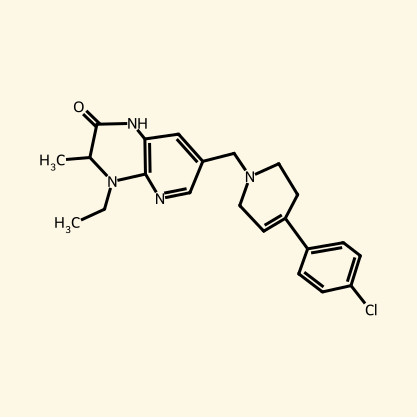 CCN1c2ncc(CN3CC=C(c4ccc(Cl)cc4)CC3)cc2NC(=O)C1C